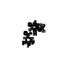 COC(=O)C(CCC(=O)c1cc(F)c(F)c(F)c1)NC(=O)OC(C)(C)C